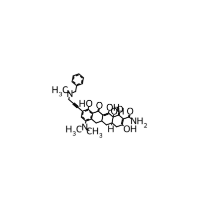 CN(CC#Cc1cc(N(C)C)c2c(c1O)C(=O)C1=C(O)[C@]3(O)C(=O)C(C(N)=O)=C(O)C[C@@H]3CC1C2)Cc1ccccc1